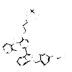 CCOc1cc(F)c(Cn2nc(-c3ncc(OCCCO[Si](C)(C)C(C)(C)C)c(Nc4ccncc4C)n3)c3ccccc32)c(F)c1